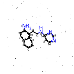 Nc1ccc2ccccc2c1CCNc1ccncn1